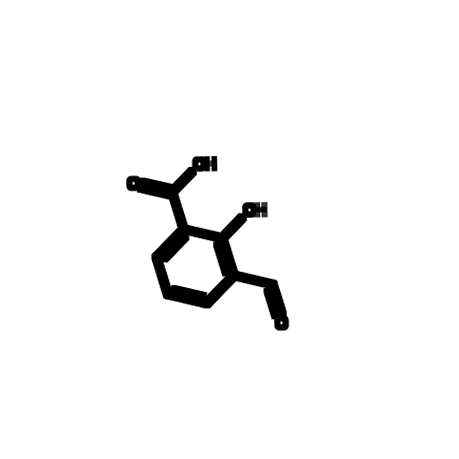 O=Cc1cccc(C(=O)O)c1O